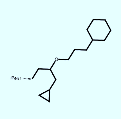 CCC[C@@H](C)CCC(CC1CC1)OCCCC1CCCCC1